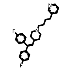 Fc1ccc(C(=CC2CCN(CCCCc3cccnc3)CC2)c2ccc(F)cc2)cc1